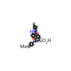 COc1ccc(CCN(CCC(=O)O)C(=O)c2ccccc2-c2ccccc2C(=O)NCc2ccc(F)cc2)cc1